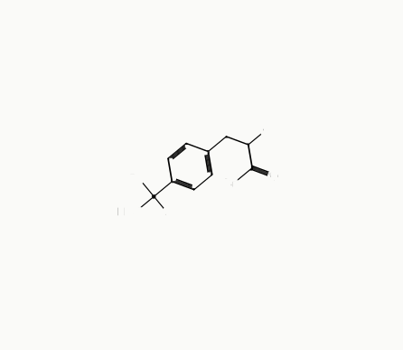 CCC(C)(C)c1ccc(CC(C)C(=O)Br)cc1